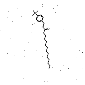 CCCCCCCCCCCCCC(=O)OCc1ccc(C(C)(C)C)cc1